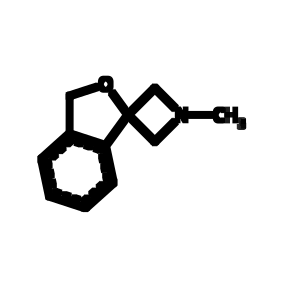 CN1CC2(C1)OCc1ccccc12